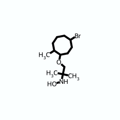 CC1CCCC(Br)CCC1OCC(C)(C)NO